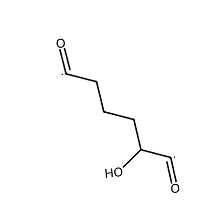 O=[C]CCCC(O)[C]=O